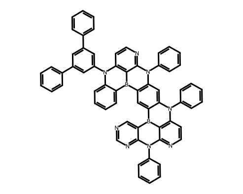 c1ccc(-c2cc(-c3ccccc3)cc(N3c4ccccc4B4c5cc6c(cc5N(c5ccccc5)c5nccc3c54)N(c3ccccc3)c3ccnc4c3B6c3cncnc3N4c3ccccc3)c2)cc1